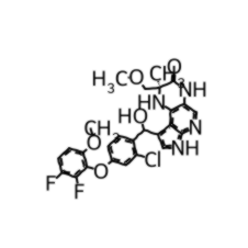 COC[C@]1(C)Nc2c(cnc3[nH]cc(C(O)c4ccc(Oc5c(OC)ccc(F)c5F)cc4Cl)c23)NC1=O